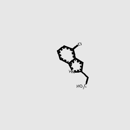 O=C(O)Cc1cc2c(Cl)cccc2[nH]1